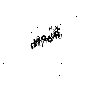 Cc1c(-c2nc3cc(C(C)N)cc(Cl)c3o2)cccc1-c1cccc(NC(=O)c2nc3c(n2C)CCN(C)C3)c1Cl